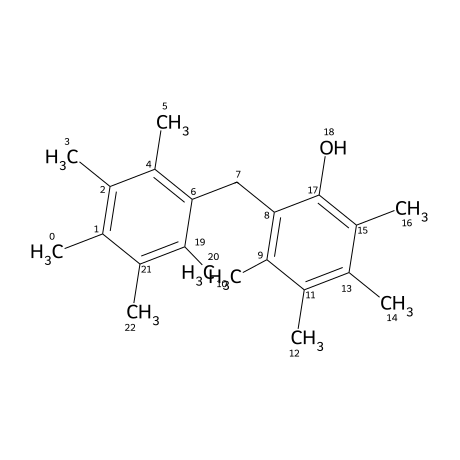 Cc1c(C)c(C)c(Cc2c(C)c(C)c(C)c(C)c2O)c(C)c1C